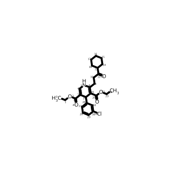 CCOC(=O)C1=CNC(CCC(=O)C2CCCCC2)=C(C(=O)OCC)C1c1cccc(Cl)c1